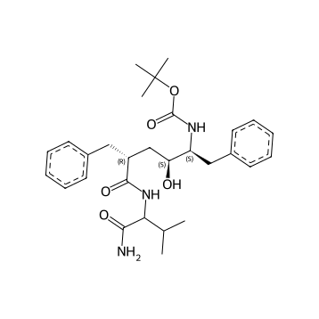 CC(C)C(NC(=O)[C@H](Cc1ccccc1)C[C@H](O)[C@H](Cc1ccccc1)NC(=O)OC(C)(C)C)C(N)=O